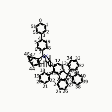 c1ccc(-c2ccc(/C(=N/Nc3ccc4c(c3-c3ccccc3)-c3ccccc3C4(c3ccccc3)c3ccccc3)c3ccc4cc3-4)cc2)cc1